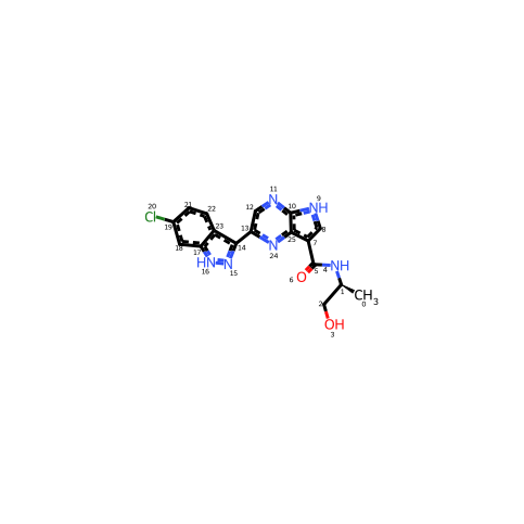 C[C@@H](CO)NC(=O)c1c[nH]c2ncc(-c3n[nH]c4cc(Cl)ccc34)nc12